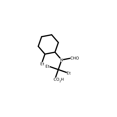 CCC1CCCCC1N(C=O)C(CC)(CC)C(=O)O